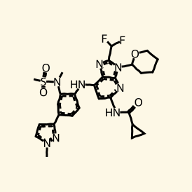 CN(c1cc(-c2ccn(C)n2)ccc1Nc1cc(NC(=O)C2CC2)nc2c1nc(C(F)F)n2C1CCCCO1)S(C)(=O)=O